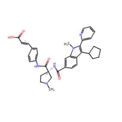 CN1CC[C@@](NC(=O)c2ccc3c(C4CCCC4)c(-c4ccccn4)n(C)c3c2)(C(=O)Nc2ccc(/C=C/C(=O)O)cc2)C1